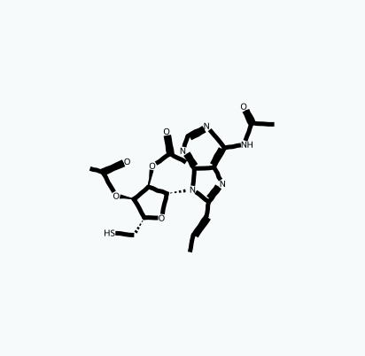 CC=Cc1nc2c(NC(C)=O)ncnc2n1[C@@H]1O[C@H](CS)[C@@H](OC(C)=O)[C@H]1OC(C)=O